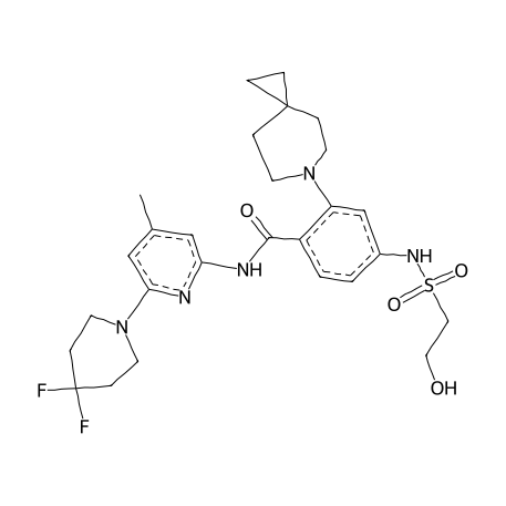 Cc1cc(NC(=O)c2ccc(NS(=O)(=O)CCO)cc2N2CCC3(CC2)CC3)nc(N2CCC(F)(F)CC2)c1